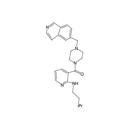 CC(C)CCNc1ncccc1C(=O)N1CCN(Cc2ccc3cnccc3c2)CC1